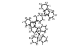 c1ccc2c(c1)-c1ccccc1C21c2ccccc2-c2cc3c4ccccc4n(-c4ccc(-n5c6ccccc6c6ccccc65)cc4)c3cc21